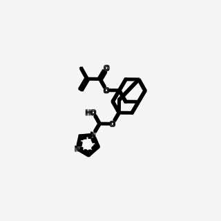 C=C(C)C(=O)OC12CC3CC(C1)CC(OC(O)n1ccnc1)(C3)C2